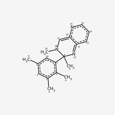 Cc1cc(C)c(C)c(C2(C)N=c3cccnc3=CN2C)c1